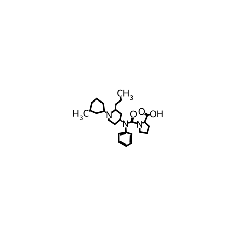 CCC[C@H]1C[C@@H](N(C(=O)N2CCCC2C(=O)O)c2ccccc2)CCN1[C@@H]1CCC[C@@H](C)C1